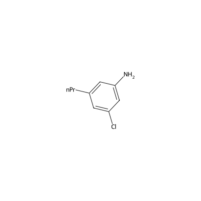 CCCc1cc(N)cc(Cl)c1